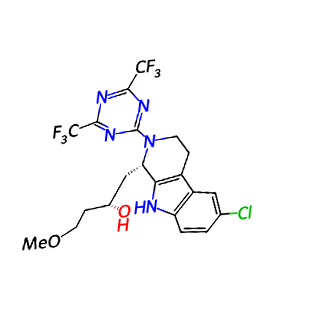 COCC[C@@H](O)C[C@H]1c2[nH]c3ccc(Cl)cc3c2CCN1c1nc(C(F)(F)F)nc(C(F)(F)F)n1